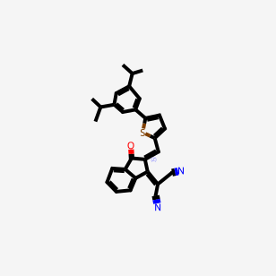 CC(C)c1cc(-c2ccc(/C=C3\C(=O)c4ccccc4C3=C(C#N)C#N)s2)cc(C(C)C)c1